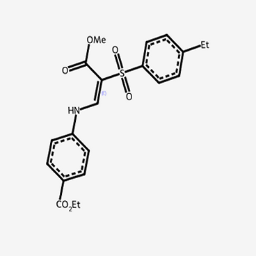 CCOC(=O)c1ccc(N/C=C(\C(=O)OC)S(=O)(=O)c2ccc(CC)cc2)cc1